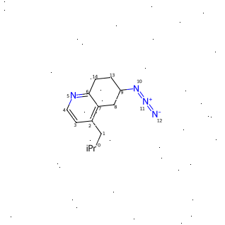 CC(C)Cc1ccnc2c1CC(N=[N+]=[N-])CC2